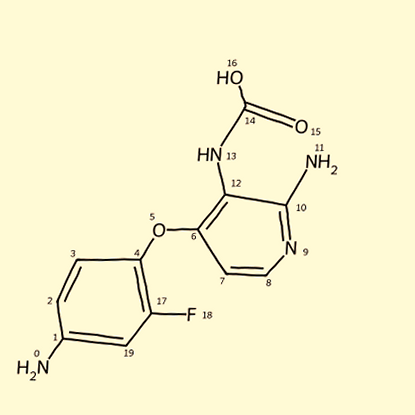 Nc1ccc(Oc2ccnc(N)c2NC(=O)O)c(F)c1